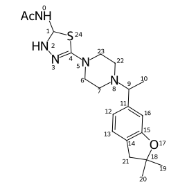 CC(=O)NC1NN=C(N2CCN(C(C)c3ccc4c(c3)OC(C)(C)C4)CC2)S1